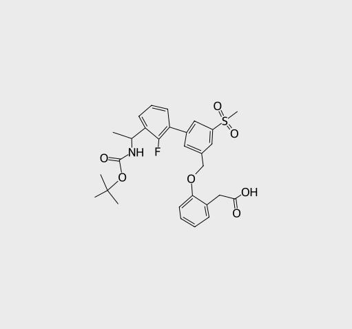 CC(NC(=O)OC(C)(C)C)c1cccc(-c2cc(COc3ccccc3CC(=O)O)cc(S(C)(=O)=O)c2)c1F